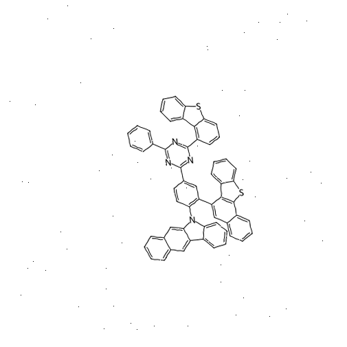 c1ccc(-c2nc(-c3ccc(-n4c5ccccc5c5cc6ccccc6cc54)c(-c4cc5ccccc5c5sc6ccccc6c45)c3)nc(-c3cccc4sc5ccccc5c34)n2)cc1